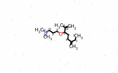 C=C(CC)CCC(OCCCN(C)C)C(=C)C